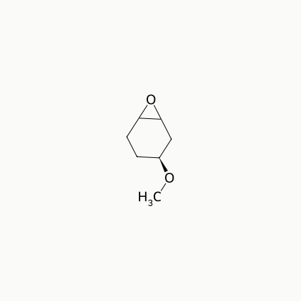 CO[C@H]1CCC2OC2C1